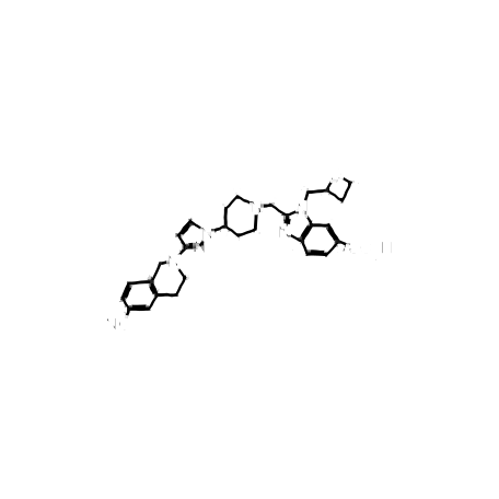 N#Cc1ccc2c(c1)CCN(c1ccn(C3CCN(Cc4nc5ccc(C(=O)O)cc5n4CC4CCO4)CC3)n1)C2